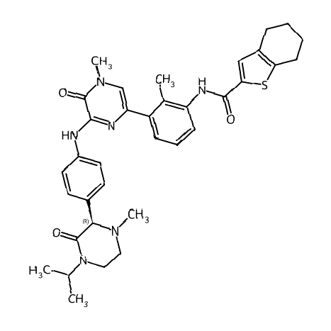 Cc1c(NC(=O)c2cc3c(s2)CCCC3)cccc1-c1cn(C)c(=O)c(Nc2ccc([C@@H]3C(=O)N(C(C)C)CCN3C)cc2)n1